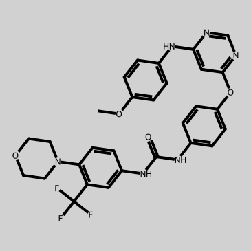 COc1ccc(Nc2cc(Oc3ccc(NC(=O)Nc4ccc(N5CCOCC5)c(C(F)(F)F)c4)cc3)ncn2)cc1